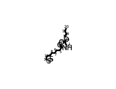 [CH2][C@H](NC(=O)CCCCC1CCSS1)C(=O)OCCCC